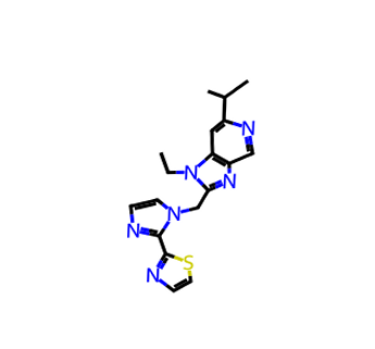 CCn1c(Cn2ccnc2-c2nccs2)nc2cnc(C(C)C)cc21